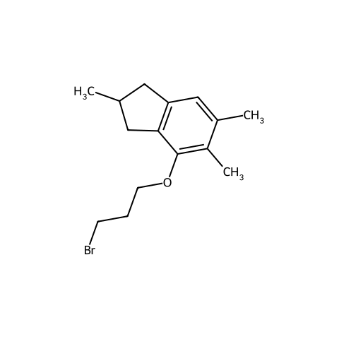 Cc1cc2c(c(OCCCBr)c1C)CC(C)C2